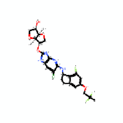 CC(F)(F)COc1cc(F)c2c(c1)CCC2Nc1nc2nc(O[C@@H]3CO[C@H]4[C@@H]3OC[C@H]4O)[nH]c2cc1Cl